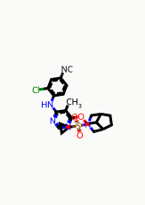 [C-]#[N+]c1ccc(Nc2ncnc(OCC3C4CCC3CN(S(=O)(=O)C3CC3)C4)c2C)c(Cl)c1